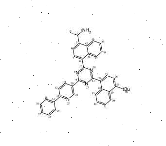 CC(N)c1ccc(-c2nc(-c3ccc(-c4ccccc4)nc3)nc(-c3ccc(C(C)(C)C)c4ccccc34)n2)c2ccccc12